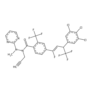 C#CCN(C(=O)c1ccc(/C(F)=C/C(c2cc(Cl)c(Cl)c(Cl)c2)C(F)(F)F)cc1C(F)(F)F)N(C)c1ncccn1